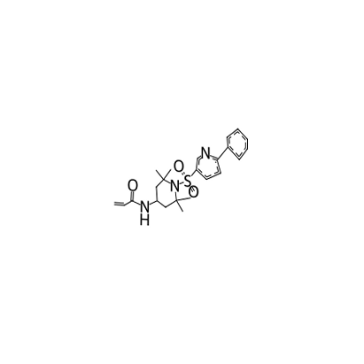 C=CC(=O)NC1CC(C)(C)N(S(=O)(=O)c2ccc(-c3ccccc3)nc2)C(C)(C)C1